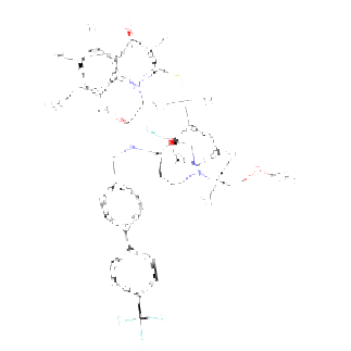 [2H]c1c(C)c([2H])c2c(c1[2H])c(=O)c([2H])c(SC([2H])([2H])c1cccc(F)c1F)n2CC(=O)N(Cc1ccc(-c2ccc(C(F)(F)F)cc2)cc1)C1CCN(C([2H])([2H])COC)CC1